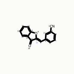 N#Cc1cccc(/C=C2\Oc3ccccc3C2=O)c1